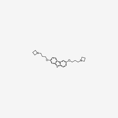 c1cc2c(cc1OCCCN1CCC1)sc1ccc(OCCCN3CCC3)cc12